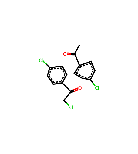 CC(=O)c1ccc(Cl)cc1.O=C(CCl)c1ccc(Cl)cc1